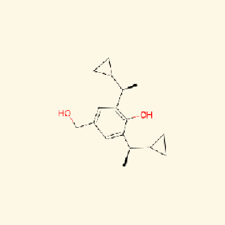 C[C@@H](c1cc(CO)cc([C@H](C)C2CC2)c1O)C1CC1